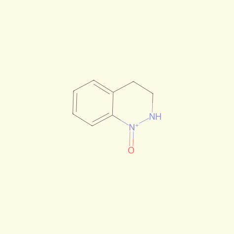 O=[N+]1NCCc2ccccc21